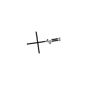 C[C](C)(C)[Ag]=[S]